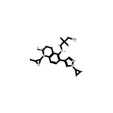 CC1OC1N1c2ccc(-c3cnn(C4CC4)c3)c(OCC(C)(C)CO)c2CC[C@@H]1C